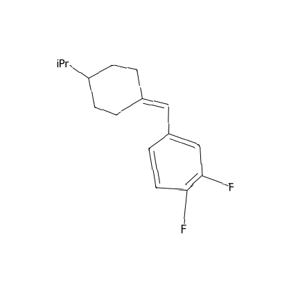 CC(C)C1CCC(=Cc2ccc(F)c(F)c2)CC1